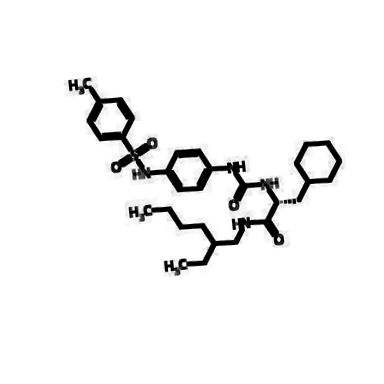 CCCCC(CC)CNC(=O)[C@@H](CC1CCCCC1)NC(=O)Nc1ccc(NS(=O)(=O)c2ccc(C)cc2)cc1